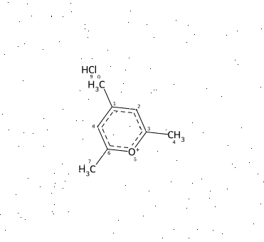 Cc1cc(C)[o+]c(C)c1.Cl